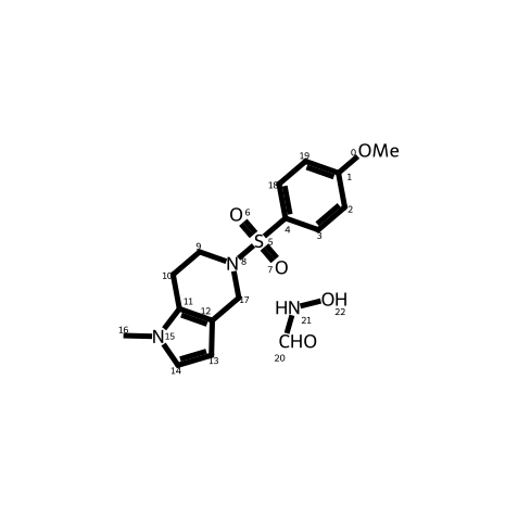 COc1ccc(S(=O)(=O)N2CCc3c(ccn3C)C2)cc1.O=CNO